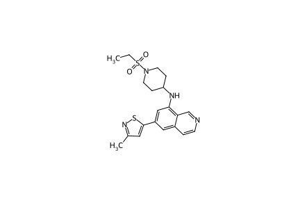 CCS(=O)(=O)N1CCC(Nc2cc(-c3cc(C)ns3)cc3ccncc23)CC1